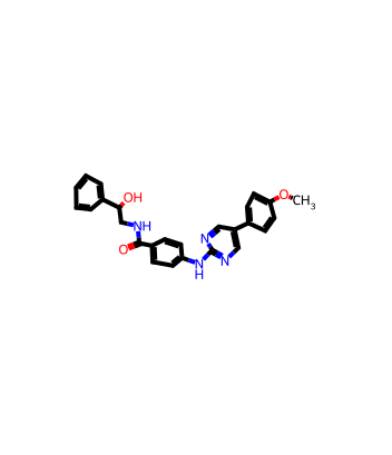 COc1ccc(-c2cnc(Nc3ccc(C(=O)NCC(O)c4ccccc4)cc3)nc2)cc1